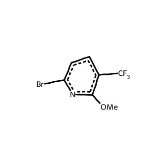 COc1nc(Br)ccc1C(F)(F)F